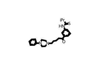 CC(C)C(=S)Nc1cccc(C(=O)CCCCN2CCN(c3ccccc3)CC2)c1